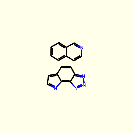 C1=Nc2c3c(ccc2=C1)=NN=N3.c1ccc2cnccc2c1